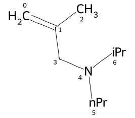 C=C(C)CN(CCC)C(C)C